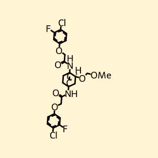 COCO[C@H]1CC2(NC(=O)COc3ccc(Cl)c(F)c3)CCC1(NC(=O)COc1ccc(Cl)c(F)c1)CC2